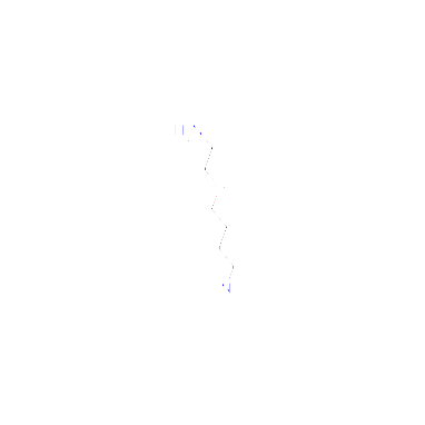 NCC[CH][CH]OCCN